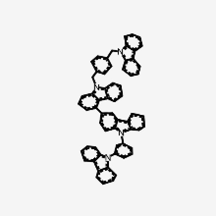 c1cc(-n2c3ccccc3c3ccccc32)cc(-n2c3ccccc3c3cc(-c4cccc5c4c4ccccc4n5Cc4ccc(Cn5c6ccccc6c6ccccc65)cc4)ccc32)c1